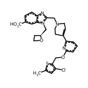 Cc1cc(Cl)c(COc2cccc(C3=CCN(Cc4nc5ccc(C(=O)O)cc5n4C[C@@H]4CCO4)CC3)n2)s1